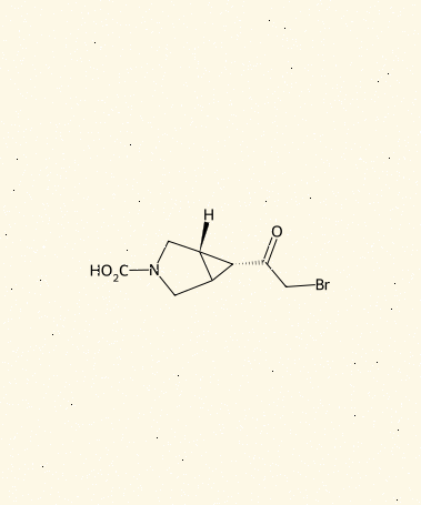 O=C(CBr)[C@@H]1C2CN(C(=O)O)C[C@@H]21